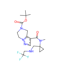 CN(C(=O)c1cnn2c1CN(C(=O)OC(C)(C)C)CC2)C1(CNCC(F)(F)F)CC1